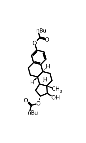 CCCCC(=O)Oc1ccc2c(c1)CC[C@@H]1[C@@H]2CC[C@]2(C)C(O)[C@H](OC(=O)CCCC)C[C@@H]12